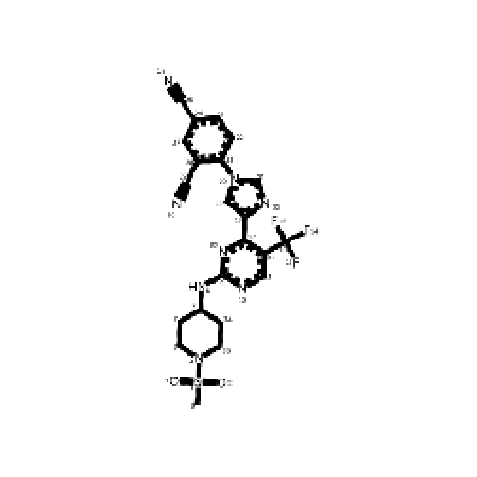 CS(=O)(=O)N1CCC(Nc2ncc(C(F)(F)F)c(-c3cn(-c4ccc(C#N)cc4C#N)cn3)n2)CC1